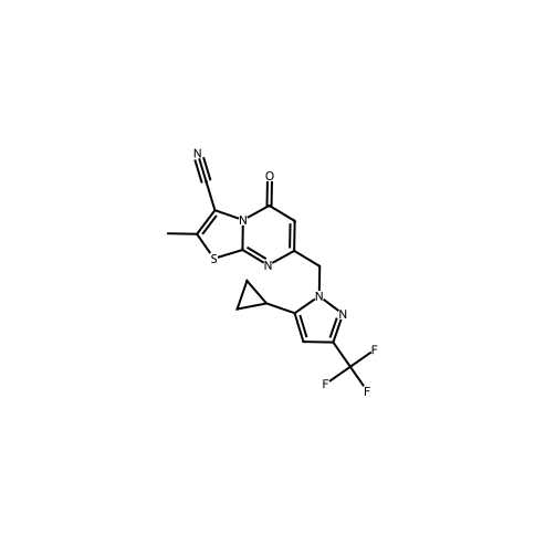 Cc1sc2nc(Cn3nc(C(F)(F)F)cc3C3CC3)cc(=O)n2c1C#N